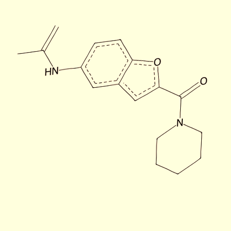 C=C(C)Nc1ccc2oc(C(=O)N3CCCCC3)cc2c1